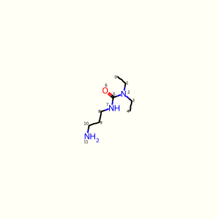 CCN(CC)C(=O)NCCCN